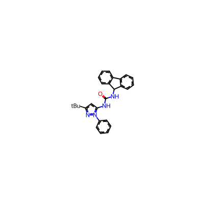 CC(C)(C)c1cc(NC(=O)NC2c3ccccc3-c3ccccc32)n(-c2ccccc2)n1